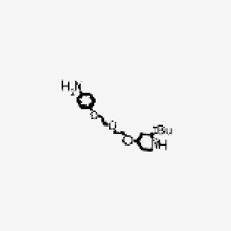 [2H]N1CCC(OCCOCCOc2ccc(N)cc2)CC1C(C)(C)C